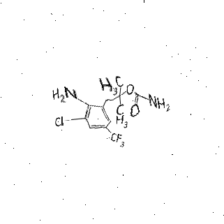 CC(C)(Cc1cc(C(F)(F)F)cc(Cl)c1N)OC(N)=O